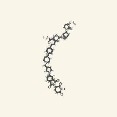 CN1CCN(C2CC3CC2N(c2nnc(C(N)=O)c(CCc4ccc(C5CCN(CC6CCN(c7ccc8c(c7)C(=O)N(C7CCC(=O)NC7=O)C8=O)C6)CC5)cc4)n2)C3)C1=O